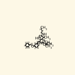 CCCCNC(=O)C(C)CC(O)C(Cc1cccc(OCc2ccccc2)c1)NC(=O)OC(C)(C)C